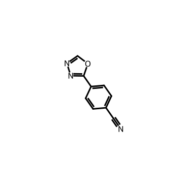 N#Cc1ccc(-c2nnco2)cc1